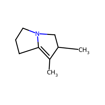 CC1=C2CCCN2CC1C